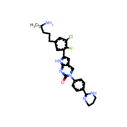 C[C@H](N)CCCc1cc(Cl)c(F)c(-c2cc3cn(-c4ccc(C5=NCCCN5)cc4)c(=O)nc3[nH]2)c1